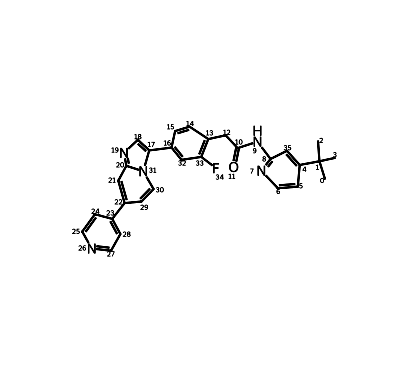 CC(C)(C)c1ccnc(NC(=O)Cc2ccc(-c3cnc4cc(-c5ccncc5)ccn34)cc2F)c1